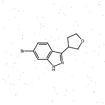 Brc1ccc2c(C3CCOC3)n[nH]c2c1